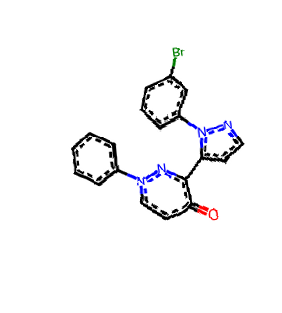 O=c1ccn(-c2ccccc2)nc1-c1ccnn1-c1cccc(Br)c1